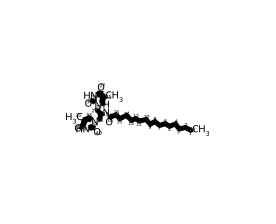 CCCCCCCCCCCCCCCCCC(=O)NC(Cn1cc(C)c(=O)[nH]c1=O)Cn1cc(C)c(=O)[nH]c1=O